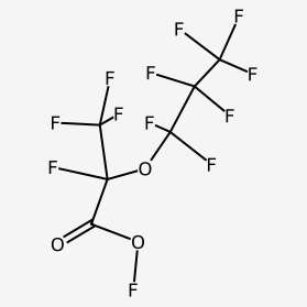 O=C(OF)C(F)(OC(F)(F)C(F)(F)C(F)(F)F)C(F)(F)F